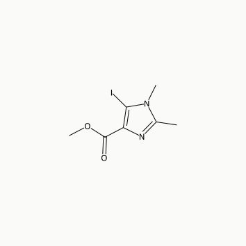 COC(=O)c1nc(C)n(C)c1I